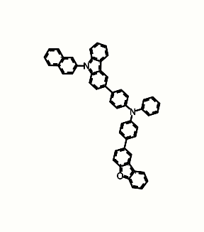 c1ccc(N(c2ccc(-c3ccc4oc5ccccc5c4c3)cc2)c2ccc(-c3ccc4c(c3)c3ccccc3n4-c3ccc4ccccc4c3)cc2)cc1